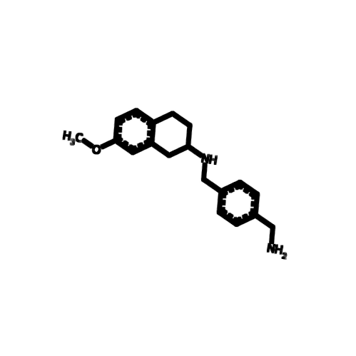 COc1ccc2c(c1)CC(NCc1ccc(CN)cc1)CC2